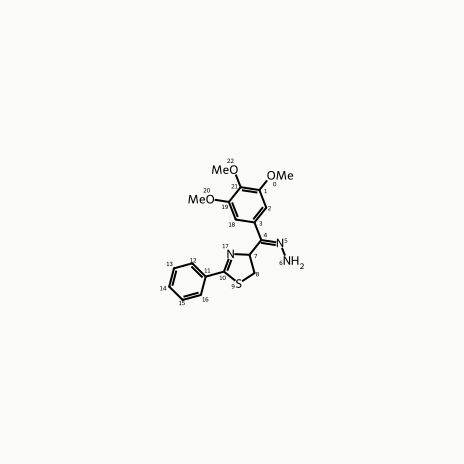 COc1cc(C(=NN)C2CSC(c3ccccc3)=N2)cc(OC)c1OC